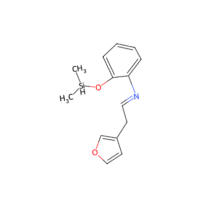 C[SiH](C)Oc1ccccc1N=CCc1ccoc1